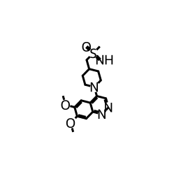 COc1cc2nncc(N3CCC(CS(C)(=N)=O)CC3)c2cc1OC